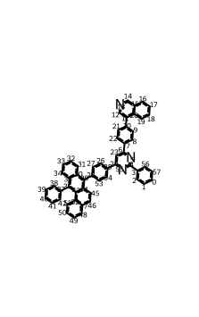 c1ccc(-c2nc(-c3ccc(-c4cncc5ccccc45)cc3)cc(-c3ccc(-c4c5ccccc5c(-c5ccccc5)c5c4ccc4ccccc45)cc3)n2)cc1